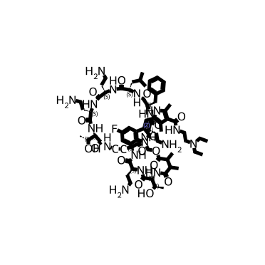 CCN(CC)CCNC(=O)c1c(C)[nH]c(/C=C2\C(=O)N(COC(=O)C(C)C(C)C(=O)N[C@H](C(=O)N[C@@H](CCN)C(=O)N[C@H]3CCNC(=O)[C@H]([C@@H](C)O)NC(=O)[C@H](CCN)NC(=O)[C@H](CCN)NC(=O)[C@H](CC(C)C)NC(=O)[C@@H](Cc4ccccc4)NC(=O)[C@H](CCN)NC3=O)[C@@H](C)O)c3ccc(F)cc32)c1C